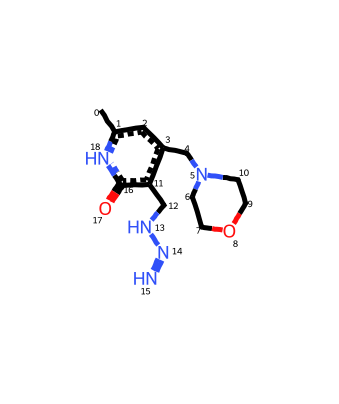 Cc1cc(CN2CCOCC2)c(CNN=N)c(=O)[nH]1